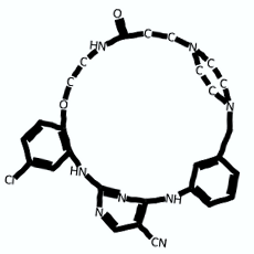 N#Cc1cnc2nc1Nc1cccc(c1)CN1CCN(CCC(=O)NCCOc3ccc(Cl)cc3N2)CC1